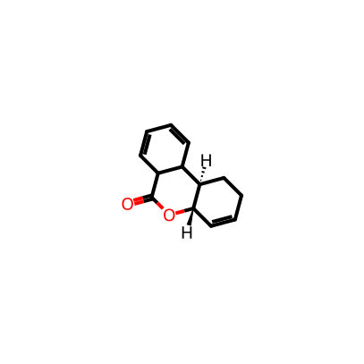 O=C1O[C@H]2C=CCC[C@@H]2C2C=CC=CC12